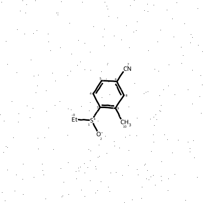 CC[S+]([O-])c1ccc(C#N)cc1C